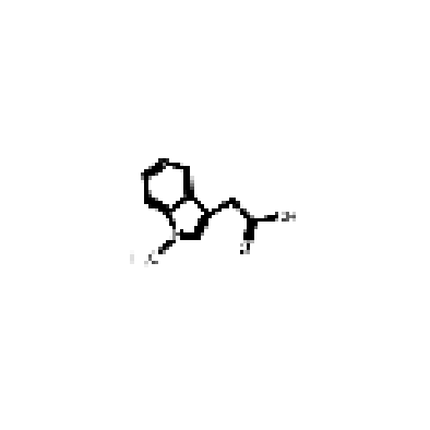 Cn1cc(CC(=O)O)c2ccccc21